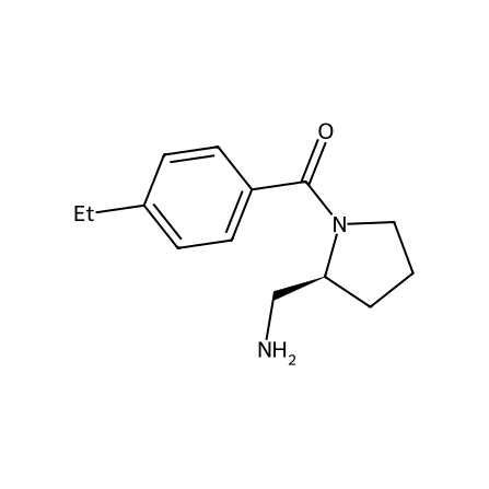 CCc1ccc(C(=O)N2CCC[C@H]2CN)cc1